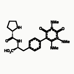 CNc1c(-c2ccc(C[C@H](NC(=O)[C@@H]3CCCN3)C(=O)O)cc2)c(=O)n(NC)c(=O)n1NC